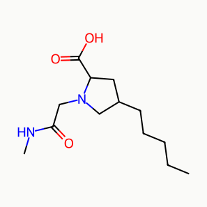 CCCCCC1CC(C(=O)O)N(CC(=O)NC)C1